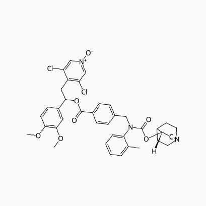 COc1ccc(C(Cc2c(Cl)c[n+]([O-])cc2Cl)OC(=O)c2ccc(CN(C(=O)O[C@H]3CN4CCC3CC4)c3ccccc3C)cc2)cc1OC